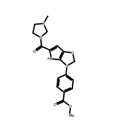 CN1CCN(C(=O)c2cc3c([nH]2)N(c2ccc(C(=O)OC(C)(C)C)cc2)CO3)C1